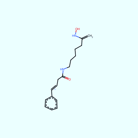 C=C(CCCCCNC(=O)C/C=C/c1ccccc1)NO